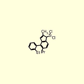 CCc1ccccc1-c1c(C(C)C)ccc2c1C=C(C)[CH]2[Zr]([Cl])[Cl]